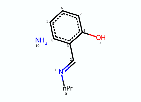 CCCN=Cc1ccccc1O.N